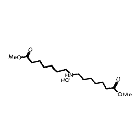 COC(=O)CCCCCCNCCCCCCC(=O)OC.Cl